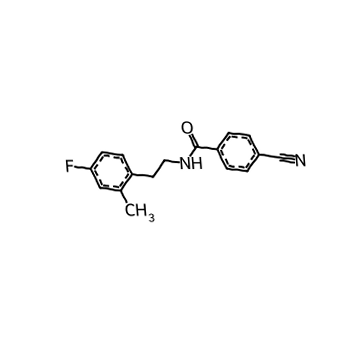 Cc1cc(F)ccc1CCNC(=O)c1ccc(C#N)cc1